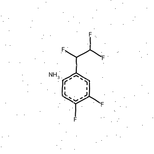 Fc1ccc(C(F)C(F)F)cc1F.N